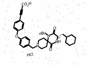 CCCCN1C(=O)[C@H](CC2CCCCC2)NC(=O)C12CCN(Cc1ccc(Oc3ccc(C#CC(=O)O)cc3)cc1)CC2.Cl